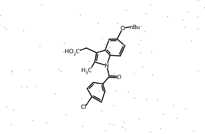 CCCCOc1ccc2c(c1)c(CC(=O)O)c(C)n2C(=O)c1ccc(Cl)cc1